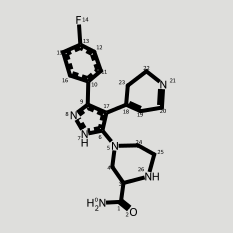 NC(=O)C1CN(c2[nH]nc(-c3ccc(F)cc3)c2C2=CC=NCC2)CCN1